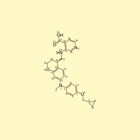 CN(c1ccc(OCC2CC2)cc1)c1ccc2c(c1)OCC[C@H]2CNc1cnccc1C(=O)O